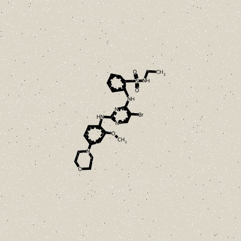 CCNS(=O)(=O)c1ccccc1Nc1nc(Nc2ccc(N3CCOCC3)cc2OC)ncc1Br